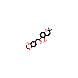 COc1c(C(=O)Cc2ccc3c(c2)OCCO3)ccc2c1C=CC(C)(C)O2